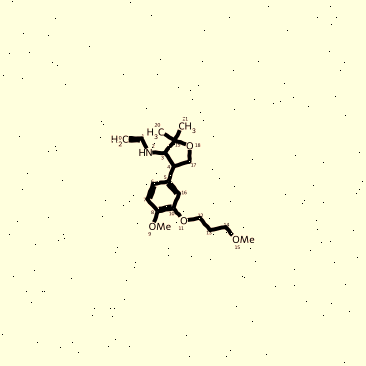 C=CNC1C(c2ccc(OC)c(OCCCOC)c2)COC1(C)C